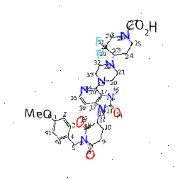 COc1ccc(CN2C(=O)CCC(n3c(=O)n(C)c4c(N5CCN([C@H]6CCN(C(=O)O)CC6(F)F)CC5)nccc43)C2=O)cc1